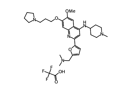 COc1cc2c(NC3CCN(C)CC3)cc(-c3ccc(CN(C)C)o3)nc2cc1OCCCN1CCCC1.O=C(O)C(F)(F)F